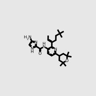 C/C=C(\CCC(C)(C)C)c1nc(C2CC(C)(C)OC(C)(C)C2)ccc1NC(=O)c1nc(N)c[nH]1